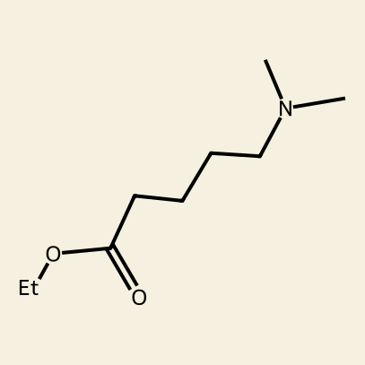 CCOC(=O)CCCCN(C)C